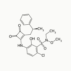 CCN(OC)S(=O)(=O)c1c(Cl)ccc(Nc2c(C[C@H](C)c3ccccc3)c(=O)c2=O)c1O